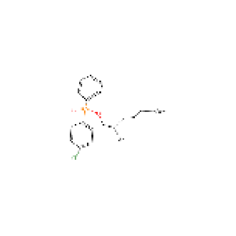 CCCCCCCCCCCCCC(COP(=O)(c1ccccc1)c1ccc(Cl)cc1)C(C)=O